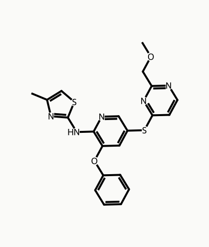 COCc1nccc(Sc2cnc(Nc3nc(C)cs3)c(Oc3ccccc3)c2)n1